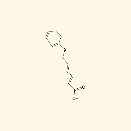 O=C(O)C=CC=CCSc1ccccc1